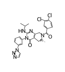 CC(C)Nc1nc2c(c(=O)n1-c1cccc(-n3ccnn3)c1)C[C@@H](C)N(C(=O)c1ccc(Cl)c(Cl)c1)C2